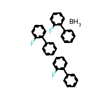 B.Fc1ccccc1-c1ccccc1.Fc1ccccc1-c1ccccc1.Fc1ccccc1-c1ccccc1